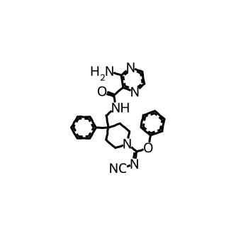 N#C/N=C(/Oc1ccccc1)N1CCC(CNC(=O)c2nccnc2N)(c2ccccc2)CC1